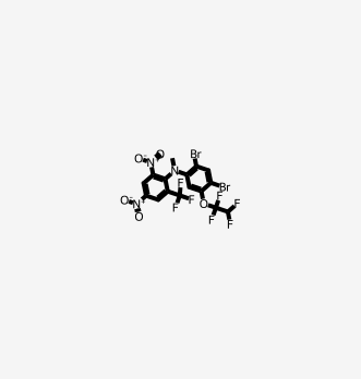 CN(c1cc(OC(F)(F)C(F)F)c(Br)cc1Br)c1c([N+](=O)[O-])cc([N+](=O)[O-])cc1C(F)(F)F